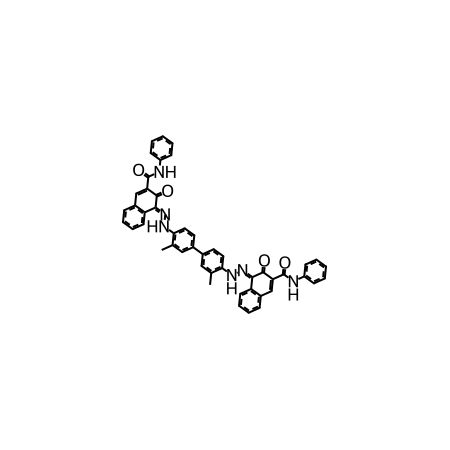 Cc1cc(-c2ccc(N/N=C3/C(=O)C(C(=O)Nc4ccccc4)=Cc4ccccc43)c(C)c2)ccc1N/N=C1/C(=O)C(C(=O)Nc2ccccc2)=Cc2ccccc21